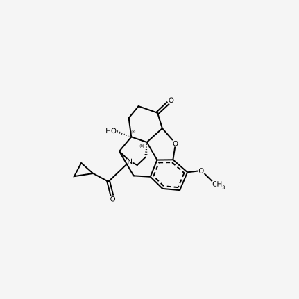 COc1ccc2c3c1OC1C(=O)CC[C@]4(O)C(C2)N(C(=O)C2CC2)CC[C@@]314